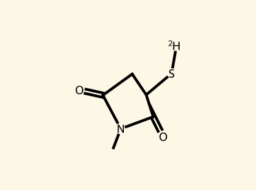 [2H]SC1CC(=O)N(C)C1=O